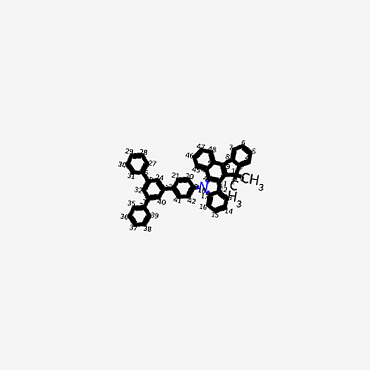 CC1(C)c2ccccc2-c2c1c1c3ccccc3n(-c3ccc(-c4cc(-c5ccccc5)cc(-c5ccccc5)c4)cc3)c1c1ccccc21